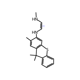 CN/C=C\Nc1cc2c(cc1C)C(C)(C)c1ccccc1S2